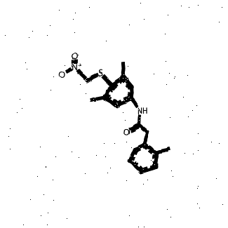 Cc1ccccc1CC(=O)Nc1cc(C)c(SC[N+](=O)[O-])c(C)c1